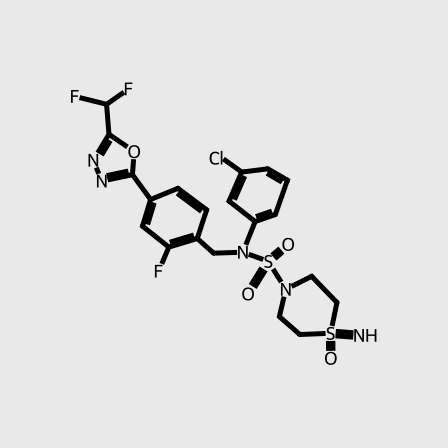 N=S1(=O)CCN(S(=O)(=O)N(Cc2ccc(-c3nnc(C(F)F)o3)cc2F)c2cccc(Cl)c2)CC1